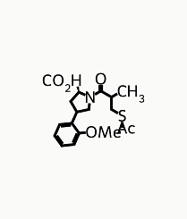 COc1ccccc1C1C[C@@H](C(=O)O)N(C(=O)C(C)CSC(C)=O)C1